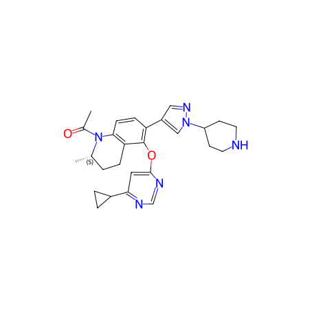 CC(=O)N1c2ccc(-c3cnn(C4CCNCC4)c3)c(Oc3cc(C4CC4)ncn3)c2CC[C@@H]1C